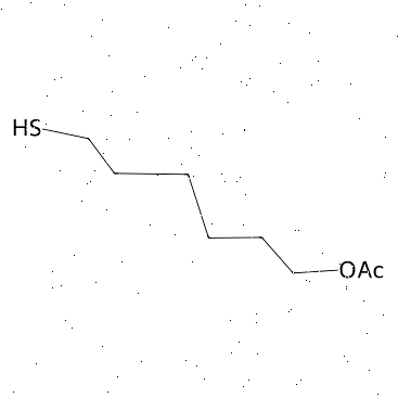 CC(=O)OCCCCCCS